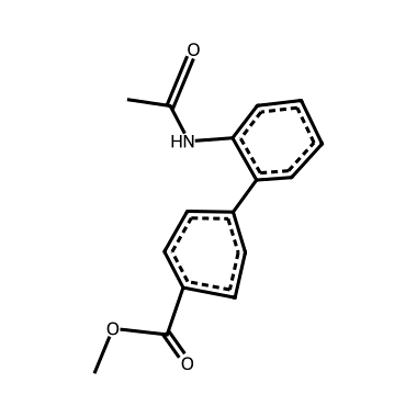 COC(=O)c1ccc(-c2ccccc2NC(C)=O)cc1